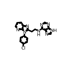 Clc1ccc(-n2c(CCNc3ncnc4[nH]cnc34)nc3cccnc32)cc1